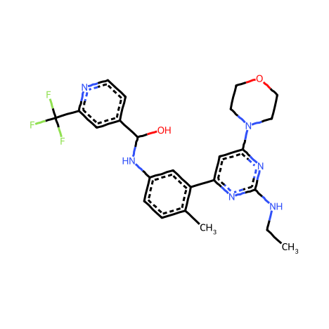 CCNc1nc(-c2cc(NC(O)c3ccnc(C(F)(F)F)c3)ccc2C)cc(N2CCOCC2)n1